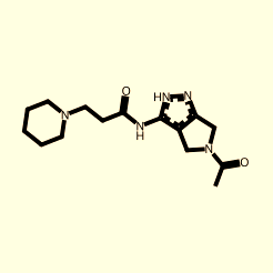 CC(=O)N1Cc2n[nH]c(NC(=O)CCN3CCCCC3)c2C1